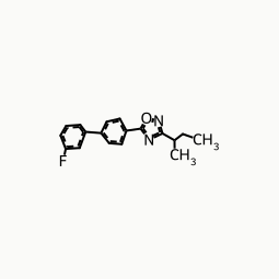 CCC(C)c1noc(-c2ccc(-c3cccc(F)c3)cc2)n1